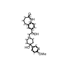 COc1ccc(C2(O)CCN(CC(O)c3ccc4c(c3)CCCC(=O)N4)CC2)cn1